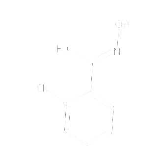 O/N=C(/c1ccccc1Cl)C(F)(F)F